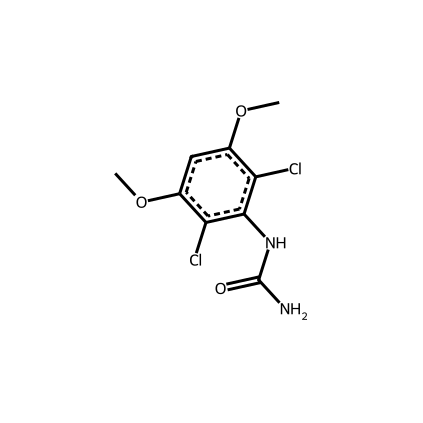 COc1cc(OC)c(Cl)c(NC(N)=O)c1Cl